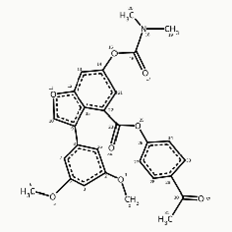 COc1cc(OC)cc(-c2coc3cc(OC(=O)N(C)C)cc(C(=O)Oc4ccc(C(C)=O)cc4)c23)c1